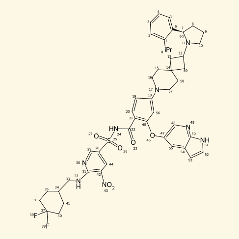 CC(C)c1ccccc1[C@H]1CCCN1C1CC2(CCN(c3ccc(C(=O)NS(=O)(=O)c4cnc(NCC5CCC(F)(F)CC5)c([N+](=O)[O-])c4)c(Oc4cnc5[nH]ccc5c4)c3)CC2)C1